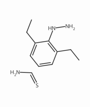 CCc1cccc(CC)c1NN.NC=S